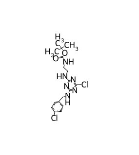 CC(C)(C)OC(=O)NCCNc1nc(Cl)nc(NCc2ccc(Cl)cc2)n1